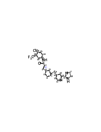 O=C(/C=C/c1cccc(Sc2ccnc(C3=NCCN3)c2)c1)Nc1ccc(Cl)c(C(F)(F)F)c1